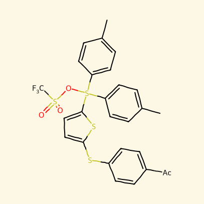 CC(=O)c1ccc(Sc2ccc(S(OS(=O)(=O)C(F)(F)F)(c3ccc(C)cc3)c3ccc(C)cc3)s2)cc1